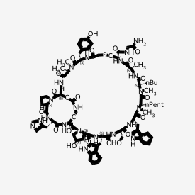 CCCCC[C@H]1C(=O)N(C)[C@@H](CCCC)C(=O)N[C@@H](C)C(=O)N[C@H](C(=O)NCC(N)=O)CSCC(=O)N[C@@H](Cc2ccc(O)cc2)C(=O)N(C)[C@@H](C)C(=O)N[C@H]2CC(=O)NCC[C@H](NC(=O)[C@H](Cc3cnc[nH]3)NC(=O)[C@@H]3CCCN3C2=O)C(=O)N2C[C@H](O)C[C@H]2C(=O)N[C@@H](Cc2c[nH]c3ccccc23)C(=O)N[C@@H](CO)C(=O)N[C@@H](Cc2c[nH]c3ccccc23)C(=O)N1C